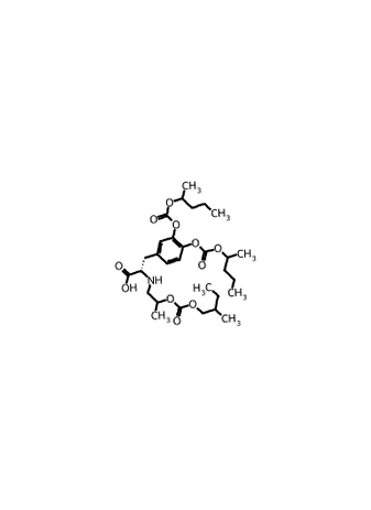 CCCC(C)OC(=O)Oc1ccc(C[C@H](NCC(C)OC(=O)OCC(C)CC)C(=O)O)cc1OC(=O)OC(C)CCC